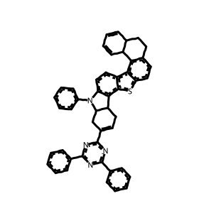 C1=CC2CCc3ccc4sc5c6c(ccc5c4c3C2C=C1)N(c1ccccc1)C1CC(c2nc(-c3ccccc3)nc(-c3ccccc3)n2)=CCC61